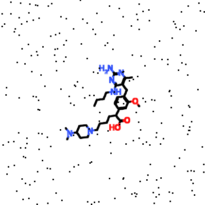 CCCCNc1nc(N)nc(C)c1Cc1ccc(C(CCCCN2CCC(N(C)C)CC2)C(=O)O)cc1OC